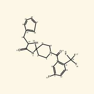 O=C1[N]C2(CCN(C(=O)c3cc(F)ccc3C(F)(F)F)CC2)NC1Cc1ccccc1